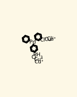 P.[Cl-].[Cl-].[Cu+].[Cu+].[Cu+].[Cu+].[I-].c1cc[c]([Pd-]([c]2ccccc2)[c]2ccccc2)cc1